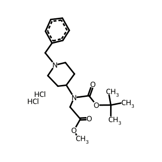 COC(=O)CN(C(=O)OC(C)(C)C)C1CCN(Cc2ccccc2)CC1.Cl.Cl